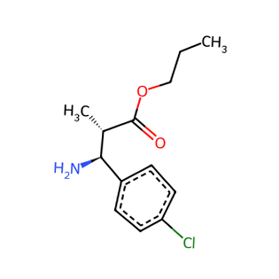 CCCOC(=O)[C@@H](C)[C@H](N)c1ccc(Cl)cc1